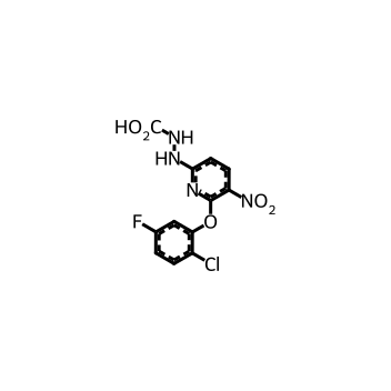 O=C(O)NNc1ccc([N+](=O)[O-])c(Oc2cc(F)ccc2Cl)n1